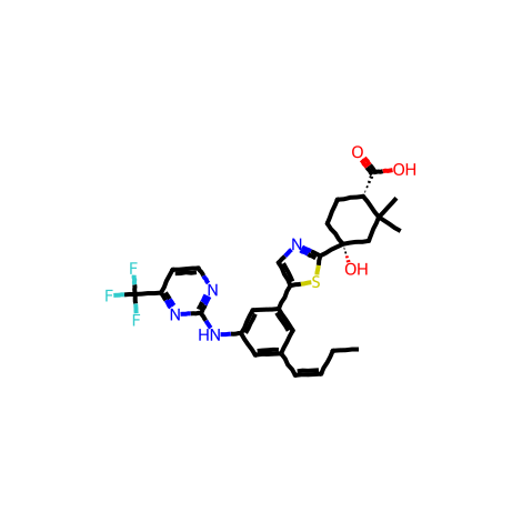 CC/C=C\c1cc(Nc2nccc(C(F)(F)F)n2)cc(-c2cnc([C@@]3(O)CC[C@H](C(=O)O)C(C)(C)C3)s2)c1